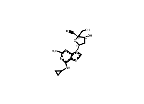 C#C[C@]1(CO)O[C@H](n2cnc3c(NC4CC4)nc(N)nc32)C[C@@H]1O